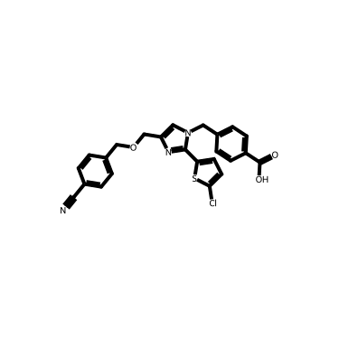 N#Cc1ccc(COCc2cn(Cc3ccc(C(=O)O)cc3)c(-c3ccc(Cl)s3)n2)cc1